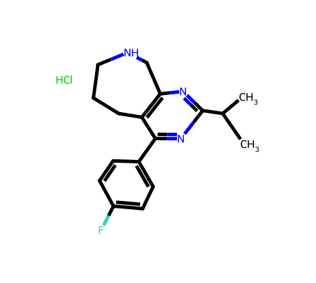 CC(C)c1nc2c(c(-c3ccc(F)cc3)n1)CCCNC2.Cl